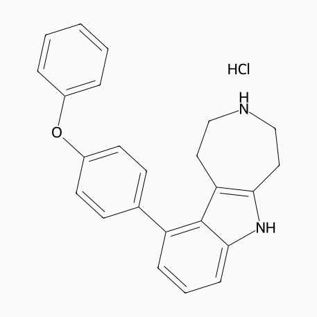 Cl.c1ccc(Oc2ccc(-c3cccc4[nH]c5c(c34)CCNCC5)cc2)cc1